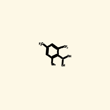 CC(C)(C)c1cc(C(F)(F)F)cc(C(F)(F)F)c1B(O)O